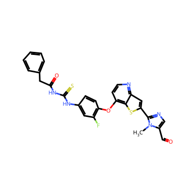 Cn1c(C=O)cnc1-c1cc2nccc(Oc3ccc(NC(=S)NC(=O)Cc4ccccc4)cc3F)c2s1